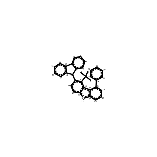 CC(C)(C)c1c(C2c3ccccc3-c3ccccc32)ccc2oc3cccc(-c4ccccc4)c3c12